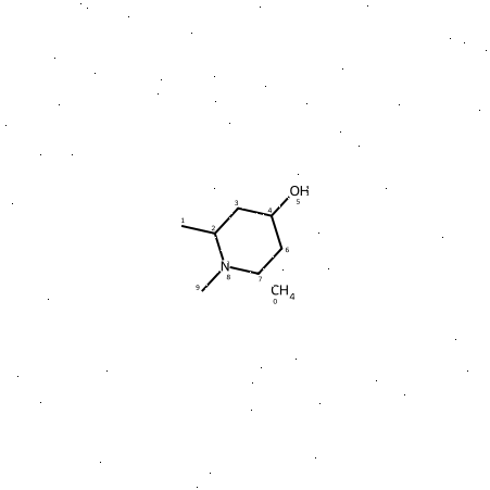 C.CC1CC(O)CCN1C